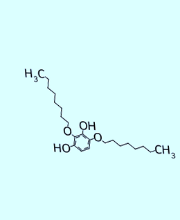 CCCCCCCCOc1ccc(O)c(OCCCCCCCC)c1O